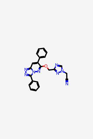 N#CCn1cnc(COc2nn3c(-c4ccccc4)nnc3cc2-c2ccccc2)n1